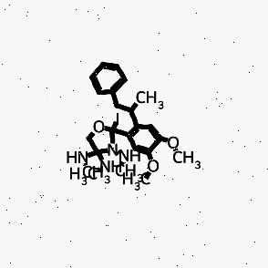 CNN1C(NC)(NC)COC1(I)c1cc(OC)c(OC)cc1C(C)Cc1ccccc1